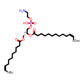 CCCC/C=C\CCCCCCCC(=O)OC[C@H](COP(=O)(O)OCCN)OC(=O)CCCCCCCCC/C=C\CCCCCCCCCC